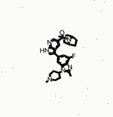 Cc1nc2c(F)cc(-c3c[nH]c4ncc(C(=O)N5C6CCC5CN(C)C6)cc34)cc2n1C1CCN(C)CC1